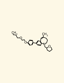 CCCCOCCOc1ccc(-c2ccc3c(c2)/C=C(/C)CCCN3CC2CCCCO2)cc1